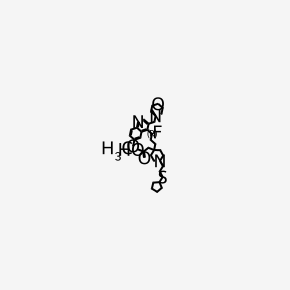 COc1ccc2ncc(CN3CCOCC3)c([C@H](F)CCC3(CC(=O)O)CCN(CCSC4CCCC4)CC3)c2c1